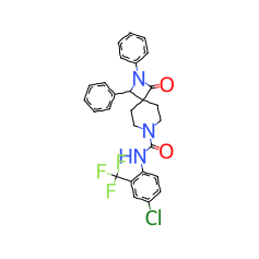 O=C(Nc1ccc(Cl)cc1C(F)(F)F)N1CCC2(CC1)C(=O)N(c1ccccc1)C2c1ccccc1